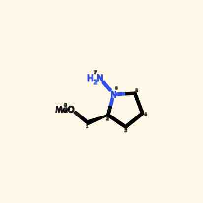 COC[C@@H]1CCCN1N